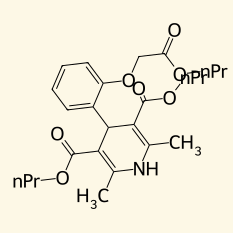 CCCOC(=O)COc1ccccc1C1C(C(=O)OCCC)=C(C)NC(C)=C1C(=O)OCCC